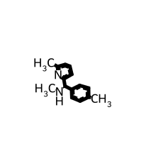 CN[C@@H](c1ccc(C)cc1)c1cccc(C)n1